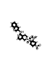 O=[N+]([O-])c1ccc(S(=O)(=O)N2CCc3c(ccnc3Nc3cnc4ccccc4c3)C2)c([N+](=O)[O-])c1